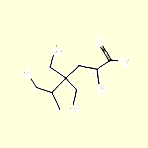 CC(CO)C(CO)(CO)CC(O)C(=O)O